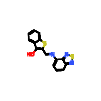 Oc1c(/C=N/c2cccc3nsnc23)sc2ccccc12